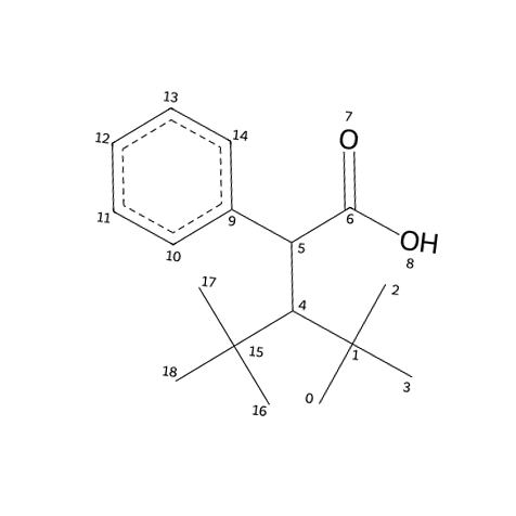 CC(C)(C)C(C(C(=O)O)c1ccccc1)C(C)(C)C